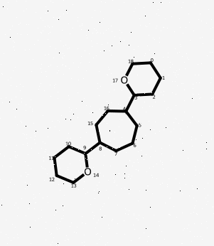 C1CCC([C]2CCCC(C3CCCCO3)CC2)OC1